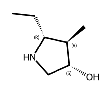 CC[C@H]1NC[C@@H](O)[C@@H]1C